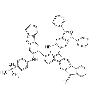 C=C1c2ccccc2-c2cc3c(cc21)c1ccc(-c2cc4c(cc2Nc2ccc(C(C)(C)C)cc2)sc2ccccc24)c2c1n3-c1cc3c(-c4ccccc4)oc(-c4ccccc4)c3cc1B2